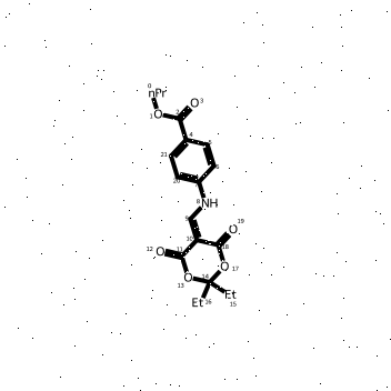 CCCOC(=O)c1ccc(NC=C2C(=O)OC(CC)(CC)OC2=O)cc1